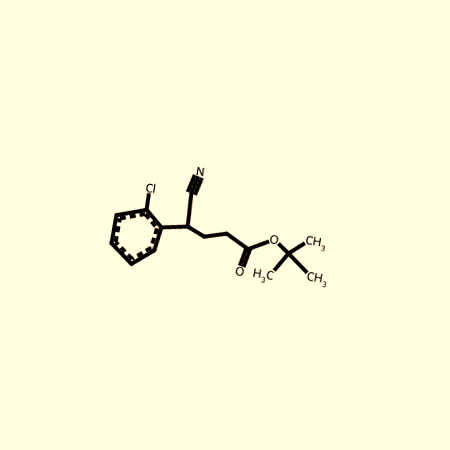 CC(C)(C)OC(=O)CCC(C#N)c1ccccc1Cl